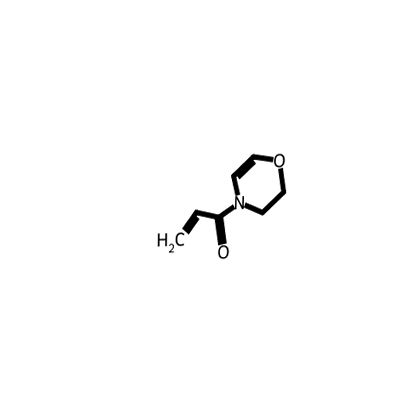 C=CC(=O)N1C=COCC1